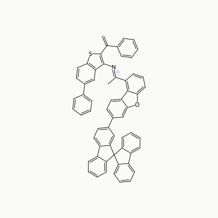 C=C(c1ccccc1)c1sc2ccc(-c3ccccc3)cc2c1/N=C(\C)c1cccc2oc3cc(-c4ccc5c(c4)C4(c6ccccc6-c6ccccc64)c4ccccc4-5)ccc3c12